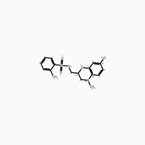 Cc1ccccc1S(=O)(=O)OCC1CN(C)c2ccc(Cl)cc2O1